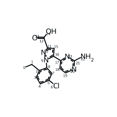 CCc1ccc(Cl)cc1-n1nc(C(=O)O)cc1-c1ccnc(N)n1